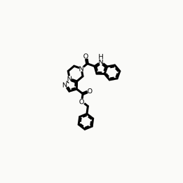 O=C(OCc1ccccc1)c1cnn2c1CN(C(=O)c1cc3ccccc3[nH]1)CC2